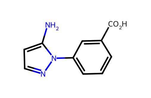 Nc1ccnn1-c1cccc(C(=O)O)c1